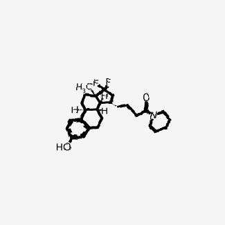 C[C@]12CC[C@@H]3c4ccc(O)cc4CC[C@H]3[C@@H]1[C@@H](CCCC(=O)N1CCCCC1)CC2(F)F